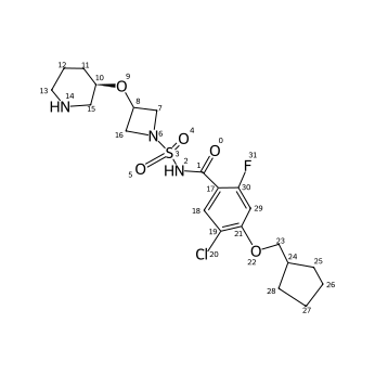 O=C(NS(=O)(=O)N1CC(O[C@@H]2CCCNC2)C1)c1cc(Cl)c(OCC2CCCC2)cc1F